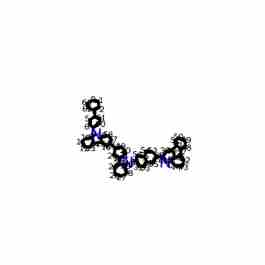 c1ccc(-c2ccc(-n3c4ccccc4c4cc(-c5ccc6c(c5)c5ccccc5n6-c5ccc6cc(-c7cc8c9c(cccc9n7)-c7ccccc7-8)ccc6c5)ccc43)cc2)cc1